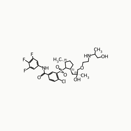 CC(CO)NCCOC[C@@](C)(O)C[C@@H]1CC[C@@H](C)C1S(=O)(=O)c1cc(C(=O)Nc2cc(F)c(F)c(F)c2)ccc1Cl